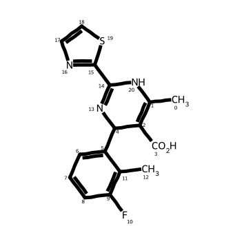 CC1=C(C(=O)O)C(c2cccc(F)c2C)N=C(c2nccs2)N1